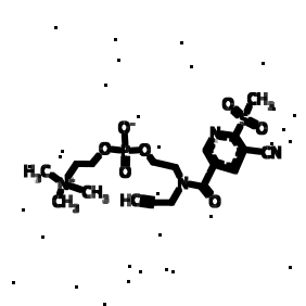 C#CCN(CCOP(=O)([O-])OCC[N+](C)(C)C)C(=O)c1cnc(S(C)(=O)=O)c(C#N)c1